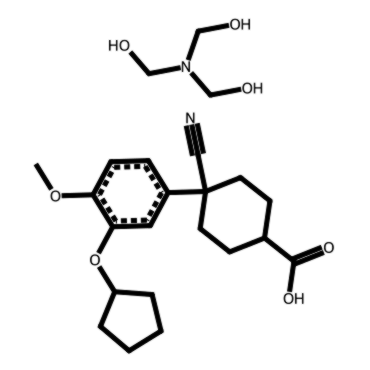 COc1ccc(C2(C#N)CCC(C(=O)O)CC2)cc1OC1CCCC1.OCN(CO)CO